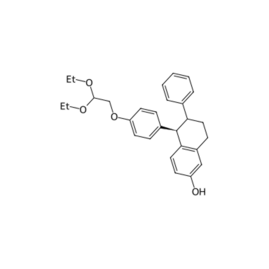 CCOC(COc1ccc([C@@H]2c3ccc(O)cc3CCC2c2ccccc2)cc1)OCC